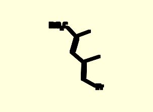 CCOC(=O)/C(C)=C/C(C)=C/C(C)C